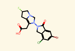 O=C(O)CC1=C2C[C@@H](F)CN2CN1N1Cc2c(Cl)cc(Br)cc2C1=O